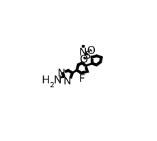 C=NS(=O)(=O)c1ccccc1-c1ccc(-c2cnc(N)nc2)c(F)c1